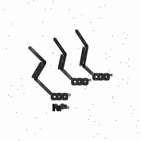 C/C=C/C(=O)[O-].C/C=C/C(=O)[O-].C/C=C/C(=O)[O-].[Fe+3]